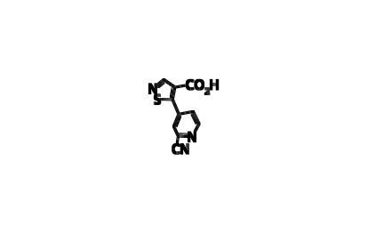 N#Cc1cc(-c2sncc2C(=O)O)ccn1